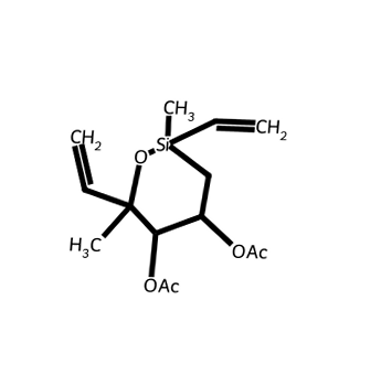 C=CC1(C)O[Si](C)(C=C)CC(OC(C)=O)C1OC(C)=O